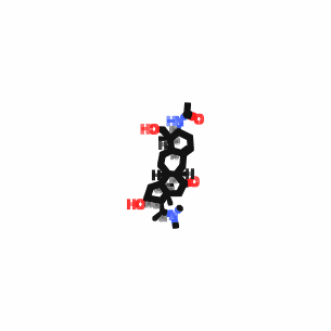 CC(=O)N[C@H]1CC=C2C[C@@H]3C(=O)C[C@]4(C)[C@@H]([C@H](C)N(C)C)[C@H](O)C[C@@]4(C)[C@@H]3CC[C@H]2[C@]1(C)CO